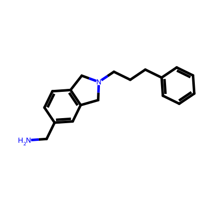 NCc1ccc2c(c1)CN(CCCc1ccccc1)C2